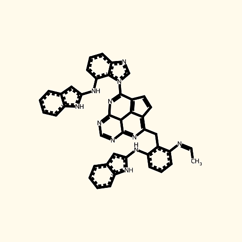 C/C=N\c1cccc(Nc2cc3ccccc3[nH]2)c1CC1=C2C=CC3=C2C2C(=NC=NC2=N1)N=C3n1cnc2cccc(Nc3cc4ccccc4[nH]3)c21